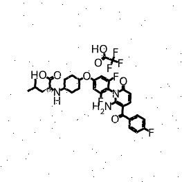 CC(C)C[C@H](NC1CCC(Oc2cc(F)c(-n3c(N)c(C(=O)c4ccc(F)cc4)ccc3=O)c(F)c2)CC1)C(=O)O.O=C(O)C(F)(F)F